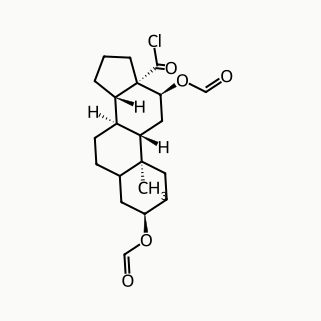 C[C@]12CC[C@@H](OC=O)CC1CC[C@H]1[C@@H]3CCC[C@@]3(C(=O)Cl)[C@@H](OC=O)C[C@@H]12